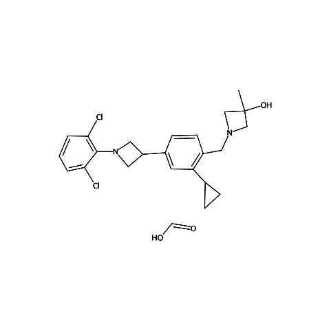 CC1(O)CN(Cc2ccc(C3CN(c4c(Cl)cccc4Cl)C3)cc2C2CC2)C1.O=CO